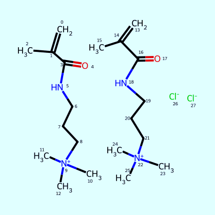 C=C(C)C(=O)NCCC[N+](C)(C)C.C=C(C)C(=O)NCCC[N+](C)(C)C.[Cl-].[Cl-]